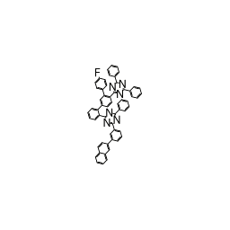 Fc1ccc(-c2cc(-c3ccccc3-c3nc(-c4ccccc4)nc(-c4cccc(-c5ccc6ccccc6c5)c4)n3)ccc2-c2nc(-c3ccccc3)nc(-c3ccccc3)n2)cc1